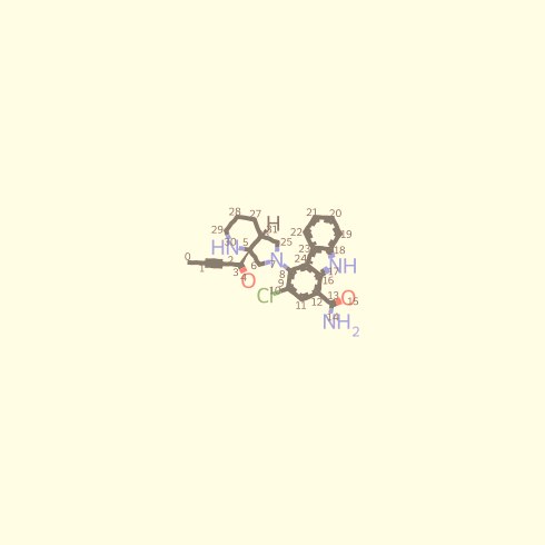 CC#CC(=O)[C@]12CN(c3c(Cl)cc(C(N)=O)c4[nH]c5ccccc5c34)C[C@H]1CCCN2